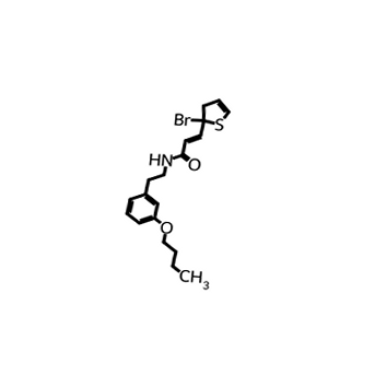 CCCCOc1cccc(CCNC(=O)C=CC2(Br)CC=CS2)c1